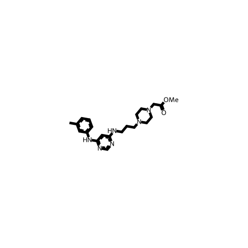 COC(=O)CN1CCN(CCCNc2cc(Nc3cccc(C)c3)ncn2)CC1